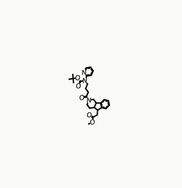 COC(=O)CC1c2ccccc2C2CN(C(=O)CCCN(C(=O)OC(C)(C)C)c3ccccn3)CCC12